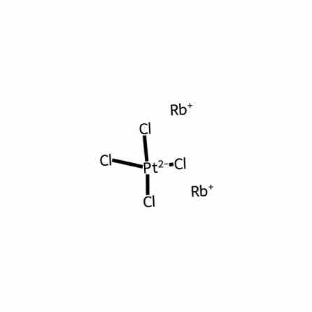 [Cl][Pt-2]([Cl])([Cl])[Cl].[Rb+].[Rb+]